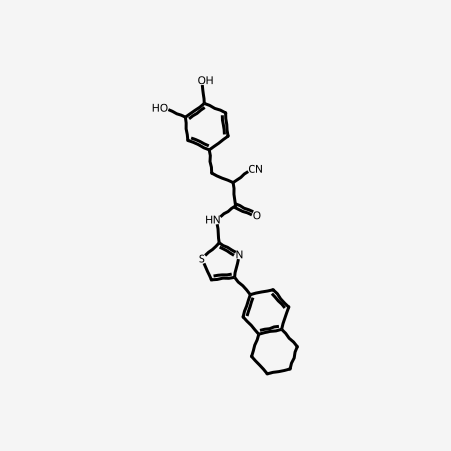 N#CC(Cc1ccc(O)c(O)c1)C(=O)Nc1nc(-c2ccc3c(c2)CCCC3)cs1